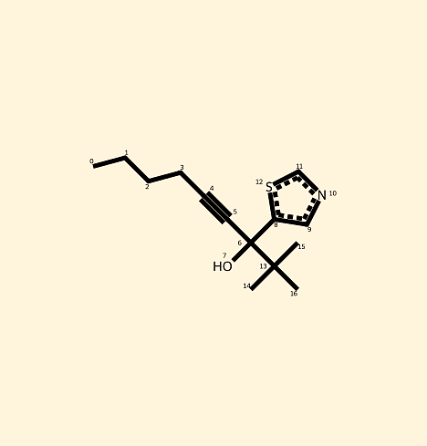 CCCCC#CC(O)(c1cncs1)C(C)(C)C